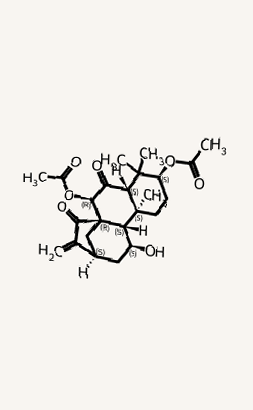 C=C1C(=O)[C@]23C[C@H]1C[C@H](O)[C@H]2[C@]1(C)CC[C@H](OC(C)=O)C(C)(C)[C@H]1C(=O)[C@@H]3OC(C)=O